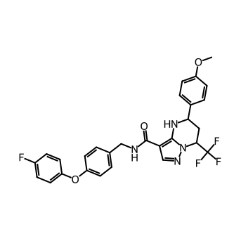 COc1ccc(C2CC(C(F)(F)F)n3ncc(C(=O)NCc4ccc(Oc5ccc(F)cc5)cc4)c3N2)cc1